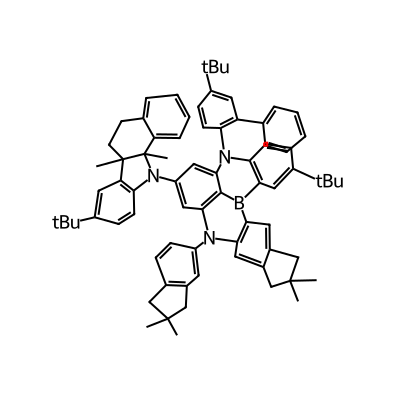 CC1(C)Cc2ccc(N3c4cc5c(cc4B4c6cc(C(C)(C)C)ccc6N(c6ccc(C(C)(C)C)cc6-c6ccccc6)c6cc(N7c8ccc(C(C)(C)C)cc8C8(C)CCc9ccccc9C78C)cc3c64)CC(C)(C)C5)cc2C1